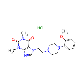 COc1ccccc1N1CCN(CCn2cnc3c2c(=O)n(C)c(=O)n3C)CC1.Cl